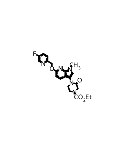 CCOC(=O)N1CCN(c2cn(C)c3nc(OCc4ccc(F)cn4)ccc23)C(=O)C1